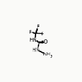 NNC(=O)NC(F)(F)F